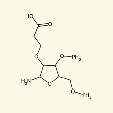 NC1OC(COP)C(OP)C1OCCC(=O)O